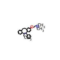 CC/C1=C(\c2ccccc2)c2ccc(OCCN(C)C)cc2CCc2ccccc21